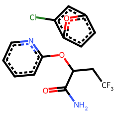 Clc1cc2ccc1o2.NC(=O)C(CC(F)(F)F)Oc1ccccn1